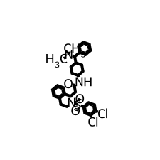 CN(C)C(c1ccccc1)C1CCC(NC(=O)CC2c3ccccc3CCN2S(=O)(=O)c2ccc(Cl)c(Cl)c2)CC1